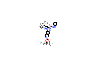 CC(C)(C)OC(=O)N1CCc2cc(-n3nc(C(C)(C)C)cc3NC(=O)Nc3ccccc3)ccc2C1